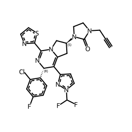 C#CCN1CCN([C@H]2CC3=C(c4ccn(C(F)F)n4)[C@H](c4ccc(F)cc4Cl)N=C(c4nccs4)N3C2)C1=O